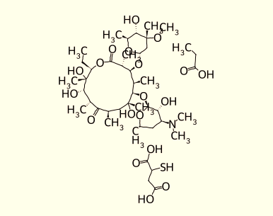 CCC(=O)O.CC[C@H]1OC(=O)[C@H](C)[C@@H](O[C@H]2C[C@@](C)(OC)[C@@H](O)[C@H](C)O2)[C@@H](C)[C@@H](O[C@@H]2O[C@H](C)C[C@H](N(C)C)[C@H]2O)[C@](C)(O)C[C@@H](C)C(=O)[C@H](C)[C@H](O)[C@]1(C)O.O=C(O)CC(S)C(=O)O